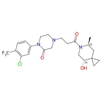 C[C@H]1CC2(CC2)[C@H](O)CN1C(=O)CCN1CCN(c2ccc(C(F)(F)F)c(Cl)c2)C(=O)C1